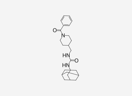 O=C(NCC1CCN(C(=O)c2ccccc2)CC1)NC12CC3CC(CC(C3)C1)C2